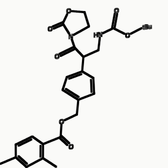 Cc1ccc(C(=O)OCc2ccc(C(CNC(=O)OC(C)(C)C)C(=O)N3CCOC3=O)cc2)c(C)c1